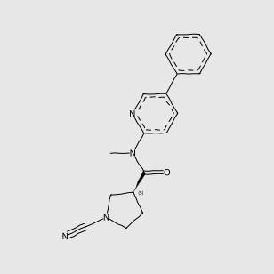 CN(C(=O)[C@H]1CCN(C#N)C1)c1ccc(-c2ccccc2)cn1